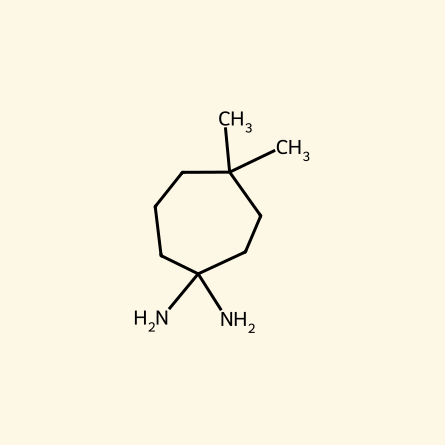 CC1(C)CCCC(N)(N)CC1